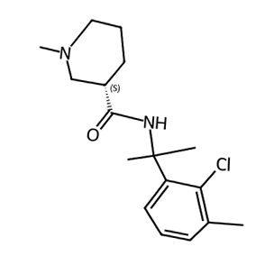 Cc1cccc(C(C)(C)NC(=O)[C@H]2CCCN(C)C2)c1Cl